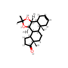 CC1(C)O[C@@H]2C3C(CC[C@]4(C)C(=O)CCC34)[C@@]3(C)CC=CCC3[C@H]2O1